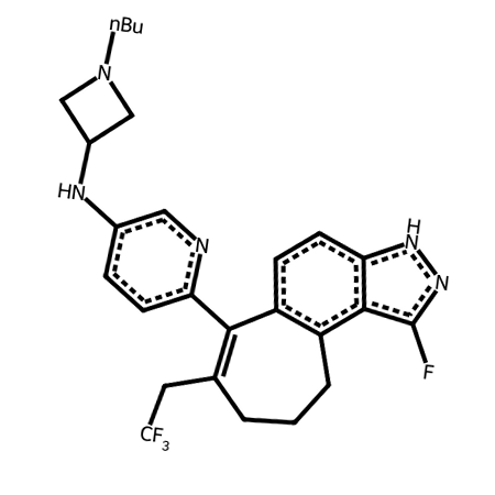 CCCCN1CC(Nc2ccc(C3=C(CC(F)(F)F)CCCc4c3ccc3[nH]nc(F)c43)nc2)C1